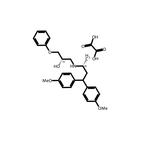 COc1ccc(C(C[C@@H](C)NC[C@H](O)COc2ccccc2)c2ccc(OC)cc2)cc1.O=C(O)C(=O)O